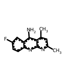 Cc1cc(C)c2c(N)c3cc(F)ccc3nc2n1